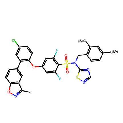 COc1ccc(CN(c2ncns2)S(=O)(=O)c2c(F)cc(Oc3ccc(Cl)cc3-c3ccc4onc(C)c4c3)cc2F)c(OC)c1